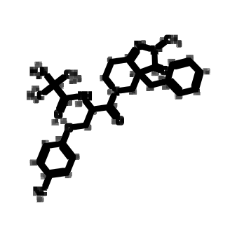 CN1N=C2CCN(C(=O)C(COc3ccc(C#N)cc3)NC(=O)C(C)(C)N)CC2(Cc2ccccc2)C1=O